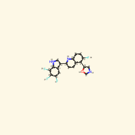 Fc1cc2c(-c3ccc4c(-c5cnco5)c(F)ccc4n3)c[nH]c2c(F)c1F